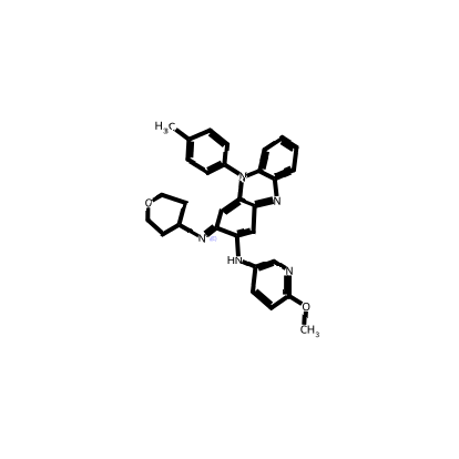 COc1ccc(Nc2cc3nc4ccccc4n(-c4ccc(C)cc4)c-3c/c2=N\C2CCOCC2)cn1